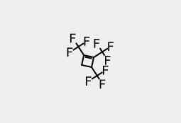 FC(F)(F)C1=C(C(F)(F)F)C(C(F)(F)F)C1